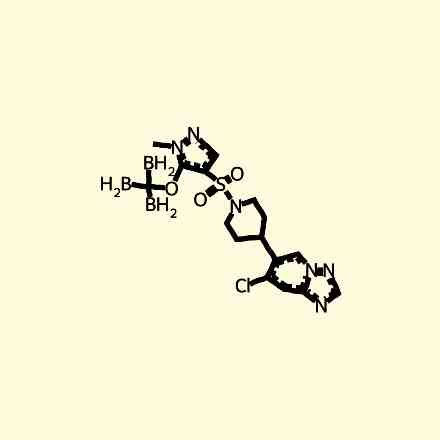 BC(B)(B)Oc1c(S(=O)(=O)N2CCC(c3cn4ncnc4cc3Cl)CC2)cnn1C